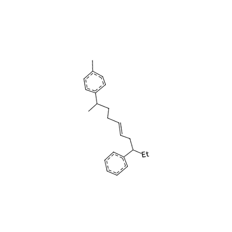 CCC(C/C=C/CCC(C)c1ccc(C)cc1)c1ccccc1